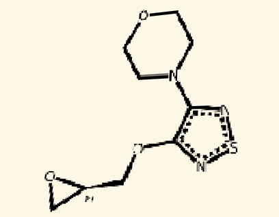 C1CN(c2nsnc2OC[C@H]2CO2)CCO1